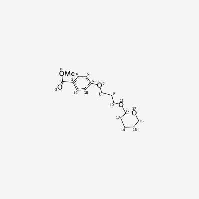 COC(=O)c1ccc(OCCCOC2CCCCO2)cc1